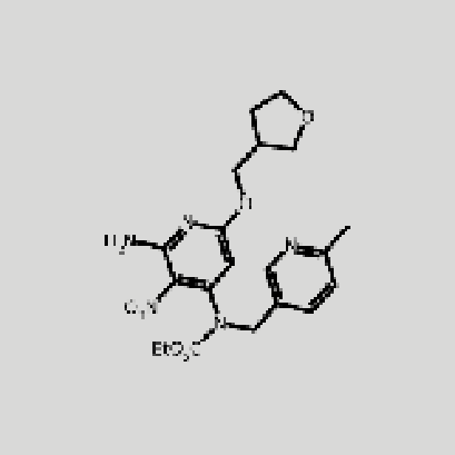 CCOC(=O)N(Cc1ccc(C)nc1)c1cc(OCC2CCOC2)nc(N)c1[N+](=O)[O-]